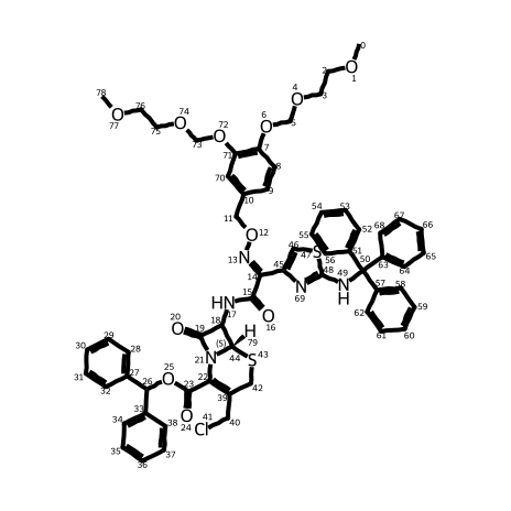 COCCOCOc1ccc(CON=C(C(=O)NC2C(=O)N3C(C(=O)OC(c4ccccc4)c4ccccc4)=C(CCl)CS[C@@H]23)c2csc(NC(c3ccccc3)(c3ccccc3)c3ccccc3)n2)cc1OCOCCOC